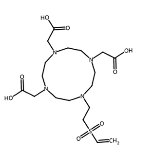 C=CS(=O)(=O)CCN1CCN(CC(=O)O)CCN(CC(=O)O)CCN(CC(=O)O)CC1